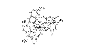 CN1CC[C@]23C4=C5O[C@H]2[C@@H](O)C=C[C@H]3[C@H]1CC4=CCC5(O)c1cc2ccc(C(=O)O)cc2c(C2(O)CC=C3C[C@@H]4[C@@H]5C=C[C@H](O)[C@@H]6OC2=C3[C@]56CCN4C)c1C(=O)O